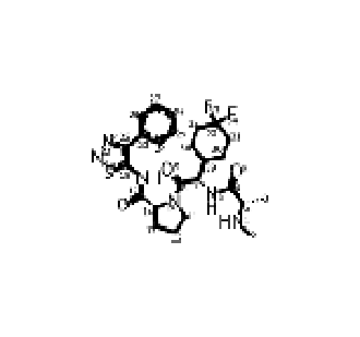 CN[C@@H](C)C(=O)N[C@H](C(=O)N1CCC[C@H]1C(=O)Nc1snnc1-c1ccccc1)C1CCC(F)(F)CC1